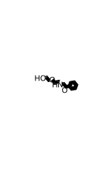 O=C(CNCCOCCO)c1ccccc1